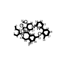 CCCC(CC)N1CCc2cc(COc3c(C)cccc3-c3cccc(N4CC[C@@H](C(=O)O)[C@@H](OC)C4)n3)cc(F)c2CC1